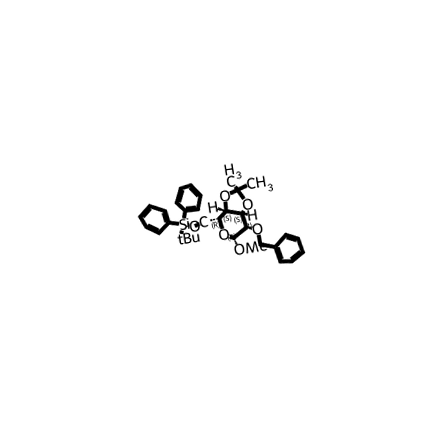 CO[C@@H]1O[C@H](CO[Si](c2ccccc2)(c2ccccc2)C(C)(C)C)[C@@H]2OC(C)(C)O[C@@H]2[C@H]1OCc1ccccc1